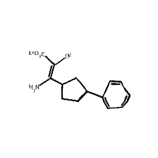 CCOC(=O)C(C#N)=C(N)C1CCC(c2ccccc2)C1